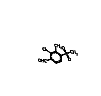 Cc1c(S(C)(=O)=O)ccc(C=O)c1Cl